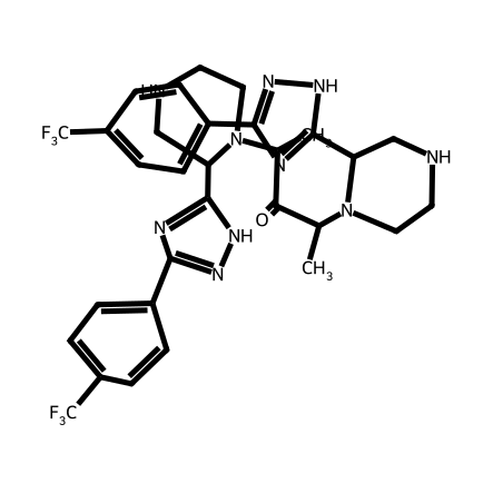 CC(C(=O)C(C)N1CCNCC1c1nc(-c2ccc(C(F)(F)F)cc2)n[nH]1)N1CCNCC1c1nc(-c2ccc(C(F)(F)F)cc2)n[nH]1